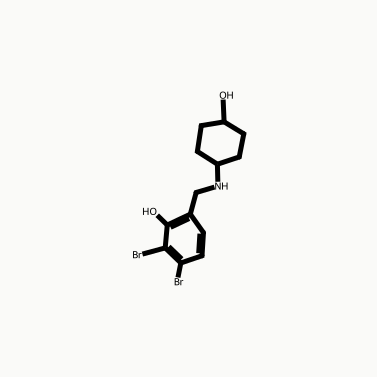 Oc1c(CNC2CCC(O)CC2)ccc(Br)c1Br